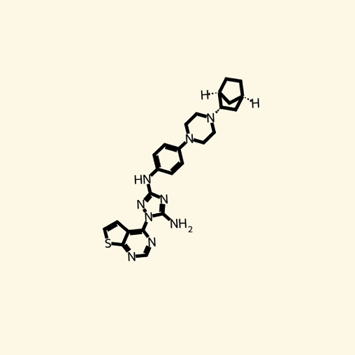 Nc1nc(Nc2ccc(N3CCN([C@H]4C[C@@H]5CC[C@H]4C5)CC3)cc2)nn1-c1ncnc2sccc12